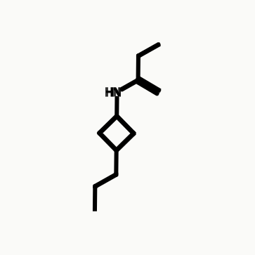 C=C(CC)NC1CC(CCC)C1